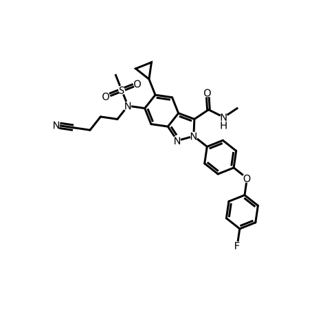 CNC(=O)c1c2cc(C3CC3)c(N(CCCC#N)S(C)(=O)=O)cc2nn1-c1ccc(Oc2ccc(F)cc2)cc1